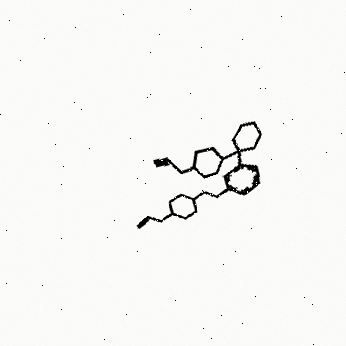 C=CCC1CCC(CCc2cccc(C3(C4CCC(CC=C)CC4)CCCCC3)c2)CC1